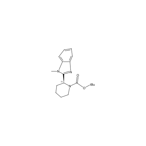 Cn1c([C@@H]2CCCCN2C(=O)OC(C)(C)C)nc2ccccc21